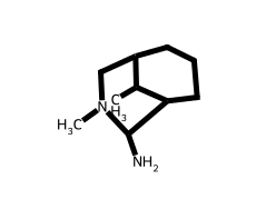 CC1C2CCCC1C(N)N(C)C2